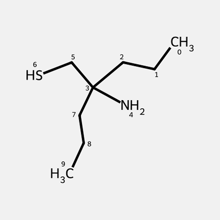 CCCC(N)(CS)CCC